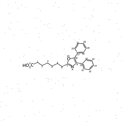 O=C(O)CCCCCCc1nc(-c2ccccc2)c(-c2ccccc2)o1